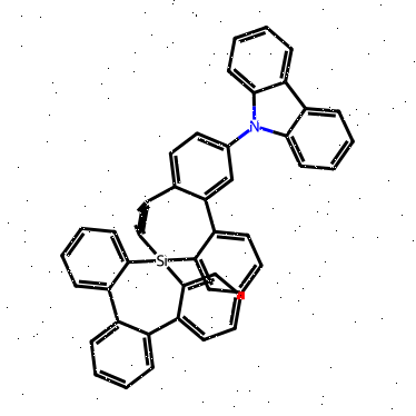 c1ccc2c(c1)-c1ccccc1[Si]1(c3ccccc3-2)c2ccccc2-c2ccc(-n3c4ccccc4c4ccccc43)cc2-c2ccccc21